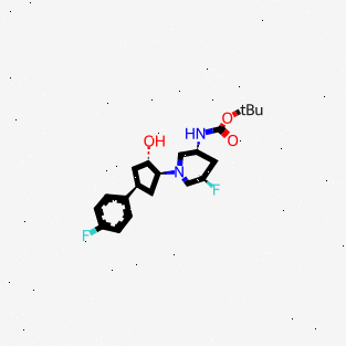 CC(C)(C)OC(=O)N[C@@H]1C[C@@H](F)CN([C@H]2C[C@@H](c3ccc(F)cc3)C[C@@H]2O)C1